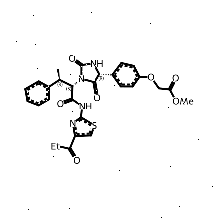 CCC(=O)c1csc(NC(=O)[C@H]([C@H](C)c2ccccc2)N2C(=O)N[C@H](c3ccc(OCC(=O)OC)cc3)C2=O)n1